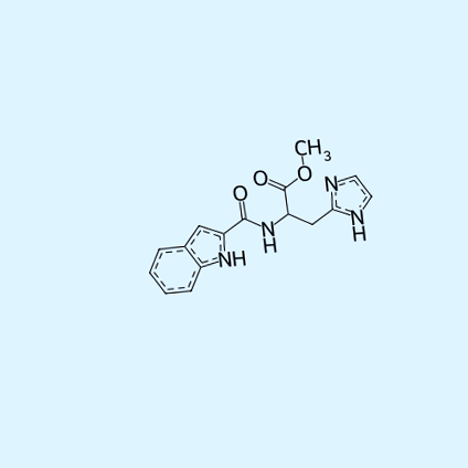 COC(=O)C(Cc1ncc[nH]1)NC(=O)c1cc2ccccc2[nH]1